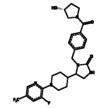 O=C(c1ccc(CN2C(=O)NCC2C2CCN(c3ncc(C(F)(F)F)cc3F)CC2)cc1)N1CC[C@@H](O)C1